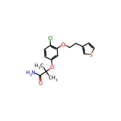 CC(C)(Oc1ccc(Cl)c(OCCc2ccsc2)c1)C(N)=O